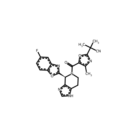 Cc1nc(C(C)(C)C#N)oc1C(=O)N1CCc2[nH]cnc2[C@H]1c1nc2cc(F)ccc2o1